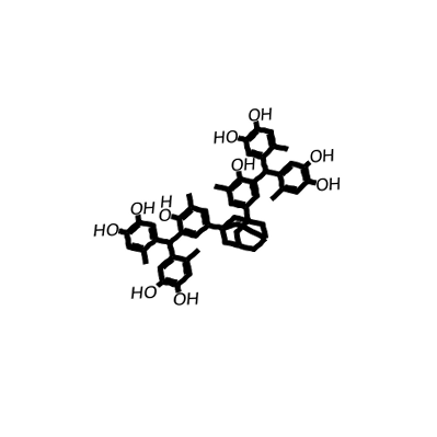 Cc1cc(O)c(O)cc1C(c1cc(O)c(O)cc1C)c1cc(C23CC4CC(C2)CC(c2cc(C)c(O)c(C(c5cc(O)c(O)cc5C)c5cc(O)c(O)cc5C)c2)(C4)C3)cc(C)c1O